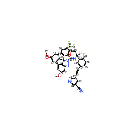 COc1ccc(C(NC2=N[C@@](C)(c3cc(C#Cc4cncc(C#N)c4)ccc3F)C[C@@H](C(F)(F)F)O2)(c2ccccc2)c2ccc(OC)cc2)cc1